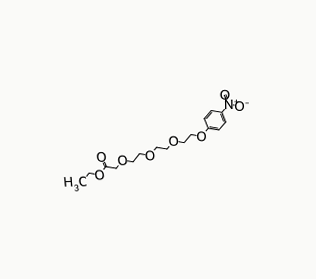 CCOC(=O)COCCOCCOCCOc1ccc([N+](=O)[O-])cc1